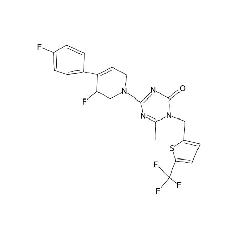 Cc1nc(N2CC=C(c3ccc(F)cc3)C(F)C2)nc(=O)n1Cc1ccc(C(F)(F)F)s1